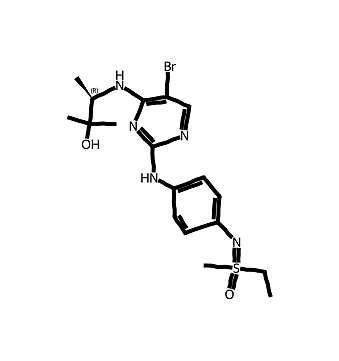 CCS(C)(=O)=Nc1ccc(Nc2ncc(Br)c(N[C@H](C)C(C)(C)O)n2)cc1